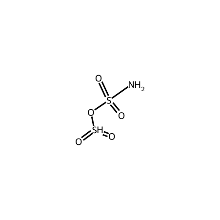 NS(=O)(=O)O[SH](=O)=O